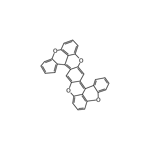 c1cc2oc3ccccc3c3c4cc5oc6cccc7oc8ccccc8c(c5cc4oc(c1)c2-3)-c76